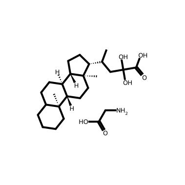 CC(CC(O)(O)C(=O)O)[C@H]1CC[C@H]2[C@@H]3CCC4CCCC[C@]4(C)[C@H]3CC[C@]12C.NCC(=O)O